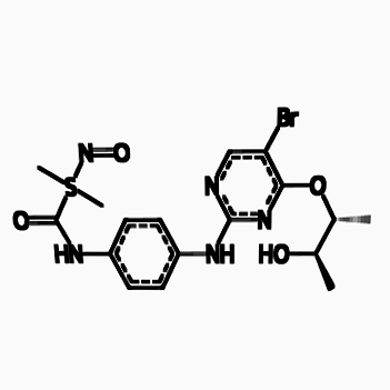 C[C@@H](O)[C@@H](C)Oc1nc(Nc2ccc(NC(=O)S(C)(C)N=O)cc2)ncc1Br